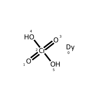 [Dy].[O]=[Cr](=[O])([OH])[OH]